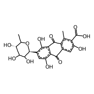 Cc1c(C(=O)O)c(O)cc2c1C(=O)c1c(O)c([C@@H]3OC(C)[C@@H](O)C(O)C3O)cc(O)c1C2=O